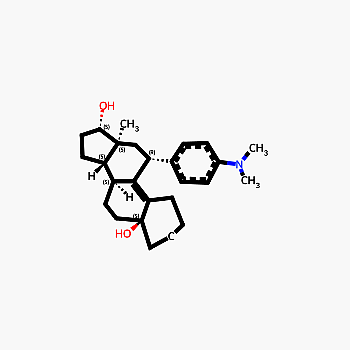 CN(C)c1ccc([C@H]2C[C@]3(C)[C@@H](O)CC[C@H]3[C@@H]3CC[C@@]4(O)CCCCC4=C32)cc1